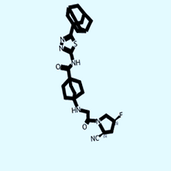 N#C[C@@H]1C[C@H](F)CN1C(=O)CNC12CCC(C(=O)Nc3nnc(C45CC6CC(CC(C6)C4)C5)s3)(CC1)CC2